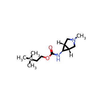 CN1C[C@@H]2[C@H](C1)[C@H]2NC(=O)OCC[Si](C)(C)C